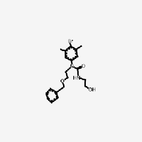 Cc1cc(N(CCOCc2ccccc2)C(=O)NCCO)cc(C)c1Br